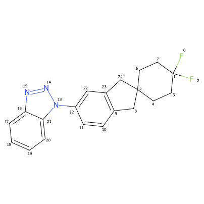 FC1(F)CCC2(CC1)Cc1ccc(-n3nnc4ccccc43)cc1C2